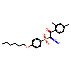 CCCCCCOc1ccc(S(=O)(=O)C(=[N+]=[N-])C(=O)c2ccc(C)cc2C)cc1